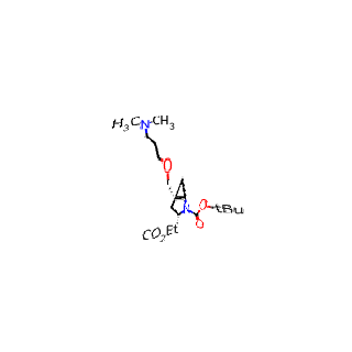 CCOC(=O)[C@@H]1C[C@@]2(COCCCN(C)C)CC2N1C(=O)OC(C)(C)C